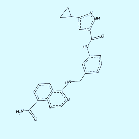 NC(=O)c1cccc2c(NCc3cccc(NC(=O)c4cc(C5CC5)n[nH]4)c3)ncnc12